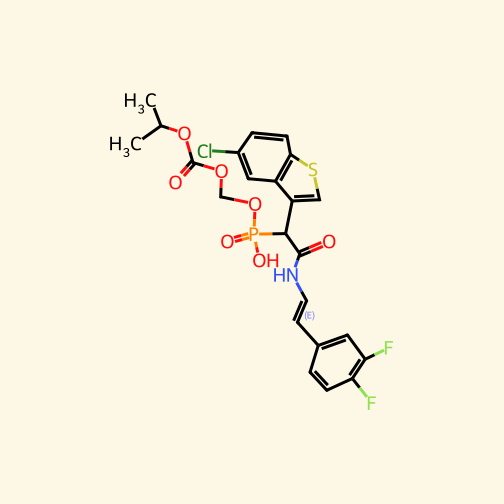 CC(C)OC(=O)OCOP(=O)(O)C(C(=O)N/C=C/c1ccc(F)c(F)c1)c1csc2ccc(Cl)cc12